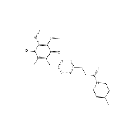 COC1=C(OC)C(=O)C(Cc2ccc(CCC(=O)N3CCC(C)CC3)cc2)=C(C)C1=O